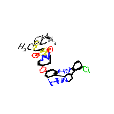 CS(C)(C)CCS(=O)(=O)N1CCC(Oc2ccc(C3NCCc4c3[nH]c3ccc(Cl)cc43)cc2)CC1